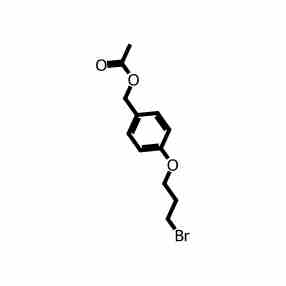 CC(=O)OCc1ccc(OCCCBr)cc1